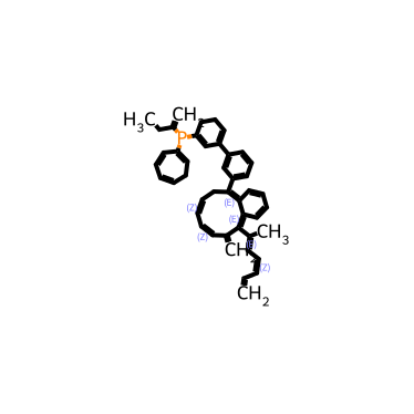 C=C\C=C/C=C(C)/C1=c2\cccc\c2=C(/c2cccc(C3=CCCC(P(C(=C)CC)C4=CCC=CC=C4)=C3)c2)C/C=C\C=C/C1=C